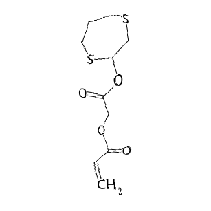 C=CC(=O)OCC(=O)OC1CSCCCS1